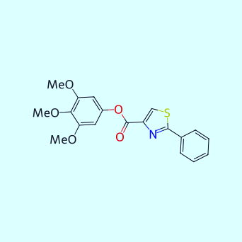 COc1cc(OC(=O)c2csc(-c3ccccc3)n2)cc(OC)c1OC